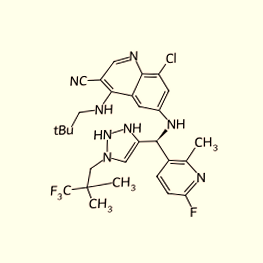 Cc1nc(F)ccc1[C@H](Nc1cc(Cl)c2ncc(C#N)c(NCC(C)(C)C)c2c1)C1=CN(CC(C)(C)C(F)(F)F)NN1